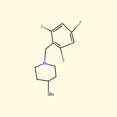 CC(C)(C)C1CCN(Cc2c(F)cc(F)cc2F)CC1